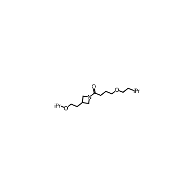 CC(C)CCOCCCC(=O)N1CC(CCOC(C)C)C1